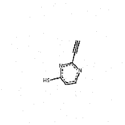 C#Cc1nccc(S)n1